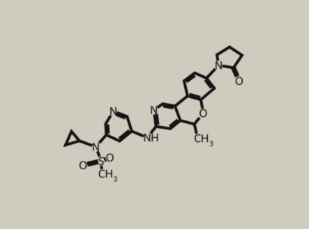 CC1Oc2cc(N3CCCC3=O)ccc2-c2cnc(Nc3cncc(N(C4CC4)S(C)(=O)=O)c3)cc21